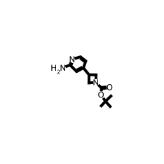 CC(C)(C)OC(=O)N1CC(c2ccnc(N)c2)C1